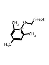 CCCCCCCCO[n+]1c(C)cc(C)cc1C